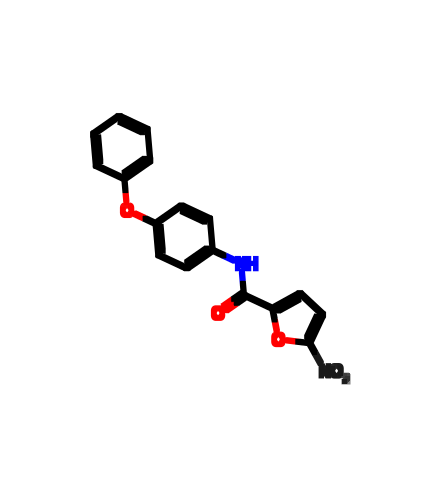 O=C(Nc1ccc(Oc2ccccc2)cc1)c1ccc([N+](=O)[O-])o1